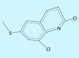 CSc1cc(Cl)c2nc(Cl)ccc2c1